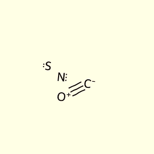 [C-]#[O+].[N].[S]